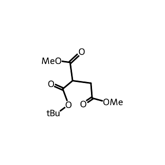 COC(=O)CC(C(=O)OC)C(=O)OC(C)(C)C